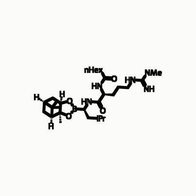 CCCCCCC(=O)N[C@@H](CCCNC(=N)NC)C(=O)N[C@@H](CC(C)C)B1O[C@@H]2C[C@@H]3C[C@@H](C3(C)C)[C@]2(C)O1